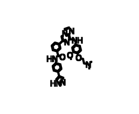 COc1cc(Nc2nc(-c3cccc(C(=O)Nc4ccc(-c5cn[nH]c5)cc4)c3)cn3ccnc23)ccc1OCCN(C)C